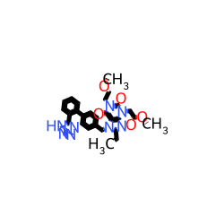 CCc1nc2c(c(=O)n(CCOC)c(=O)n2CC(=O)OC)n1Cc1ccc(-c2ccccc2-c2nnn[nH]2)cc1